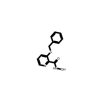 O=C(NO)c1ncccc1SCc1ccccc1